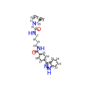 CC(C)CN(CC(=O)NCCCCNC(=O)c1ccc(-c2n[nH]c3ccccc23)cc1)CC(C)C